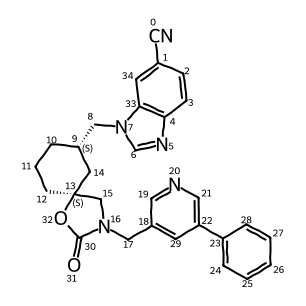 N#Cc1ccc2ncn(C[C@H]3CCC[C@]4(C3)CN(Cc3cncc(-c5ccccc5)c3)C(=O)O4)c2c1